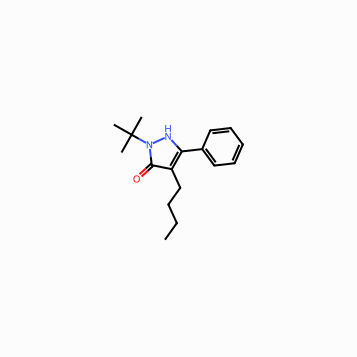 CCCCc1c(-c2ccccc2)[nH]n(C(C)(C)C)c1=O